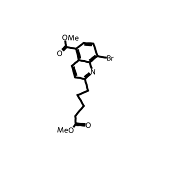 COC(=O)CCCCc1ccc2c(C(=O)OC)ccc(Br)c2n1